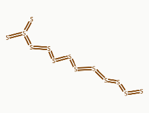 S=S=S=S=S=S=S=S=S=S=S(=S)=S